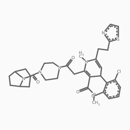 COC(=O)C1=C(CC(=O)N2CCN(C3CC4CCC(C3)N4C=O)CC2)N(C)C(CCc2nccs2)=CC1c1c(Cl)cccc1Cl